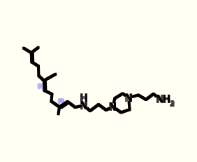 CC(C)=CCC/C(C)=C/CC/C(C)=C/CNCCCN1CCN(CCCN)CC1